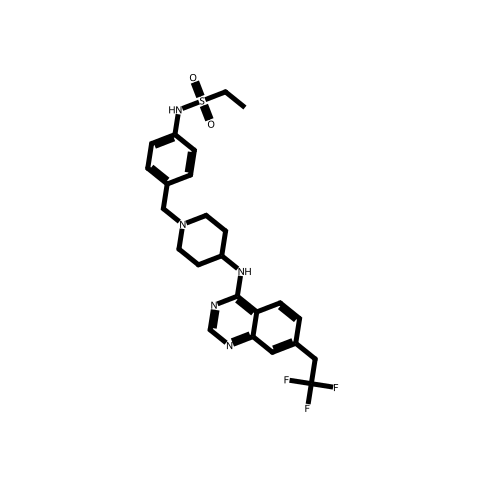 CCS(=O)(=O)Nc1ccc(CN2CCC(Nc3ncnc4cc(CC(F)(F)F)ccc34)CC2)cc1